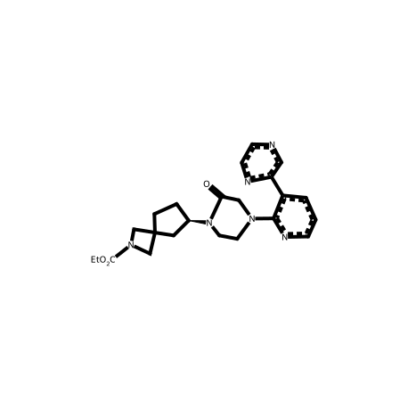 CCOC(=O)N1CC2(CC[C@@H](N3CCN(c4ncccc4-c4cnccn4)CC3=O)C2)C1